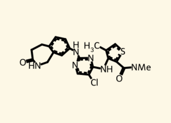 CNC(=O)c1scc(C)c1Nc1nc(Nc2ccc3c(c2)CNC(=O)CC3)ncc1Cl